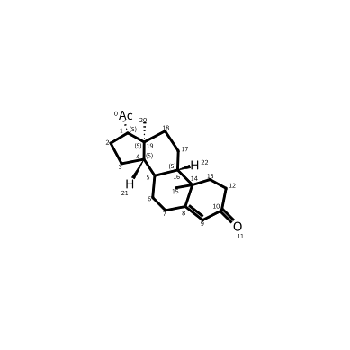 CC(=O)[C@H]1CC[C@H]2C3CCC4=CC(=O)CCC4(C)[C@H]3CC[C@]12C